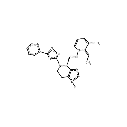 C/C=C1/C(C)=CC=CN1/N=C/[C@H]1c2ncn(F)c2CCN1c1nnc(-c2cnccn2)o1